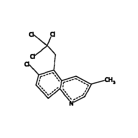 Cc1cnc2ccc(Cl)c(CC(Cl)(Cl)Cl)c2c1